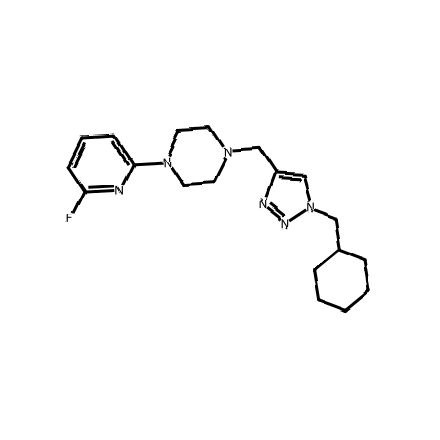 Fc1cccc(N2CCN(Cc3cn(CC4CCCCC4)nn3)CC2)n1